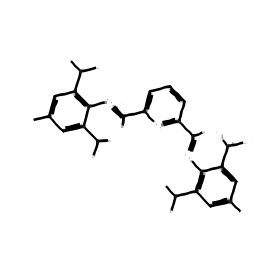 C/C(=N\c1c(C(C)C)cc(C)cc1C(C)C)c1cccc(/C(C)=N/c2c(C(C)C)cc(C)cc2C(C)C)n1